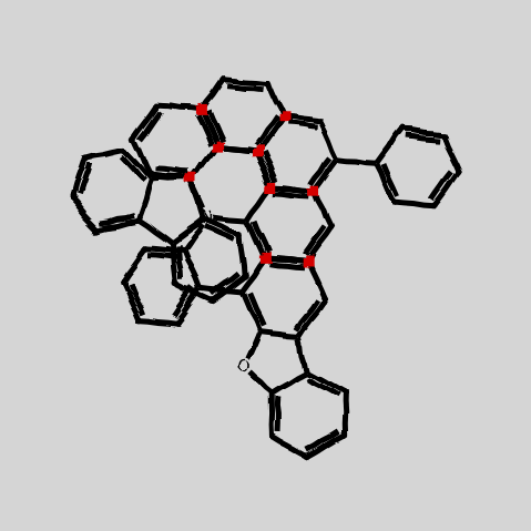 c1ccc(-c2ccc(-c3ccccc3N(c3ccccc3-c3ccccc3-n3c4ccccc4c4ccccc43)c3ccccc3-c3cccc4c3oc3ccccc34)cc2)cc1